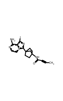 CC#CC(=O)NC12CCC(c3nc(I)c4c(N)nccn34)(CC1)C2